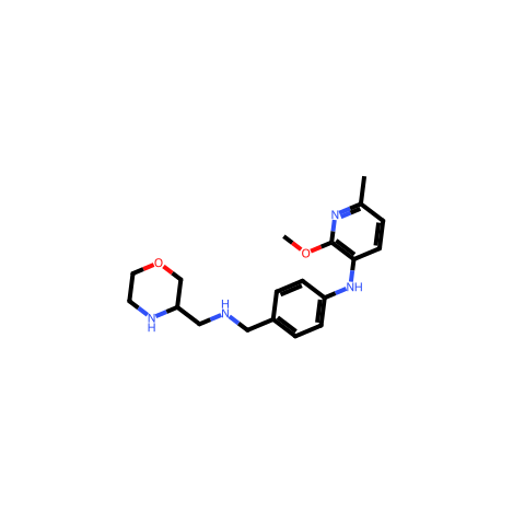 COc1nc(C)ccc1Nc1ccc(CNCC2COCCN2)cc1